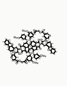 COc1cccc(Oc2cc3c4c(cc(Oc5cccc(OC)c5)c5c6c(Oc7cccc(OC)c7)cc7c8c(cc(Oc9cccc(OC)c9)c(c2c45)c86)C(=O)N(C(Cc2cccc4c2oc2ccccc24)C(=O)Nc2cncc(C(=O)OCC4CO4)c2)C7=O)C(=O)N(C(Cc2cccc4c2oc2ccccc24)C(=O)Nc2cncc(C(=O)OCC4CO4)c2)C3=O)c1